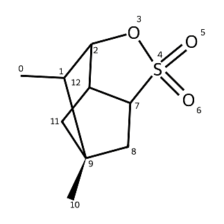 CC1C2OS(=O)(=O)C3C[C@]1(C)CC23